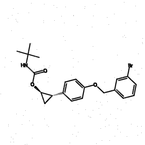 CC(C)(C)NC(=O)O[C@@H]1C[C@H]1c1ccc(OCc2cccc(Br)c2)cc1